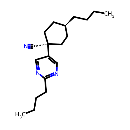 CCCCc1ncc([C@]2(C#N)CC[C@H](CCCC)CC2)cn1